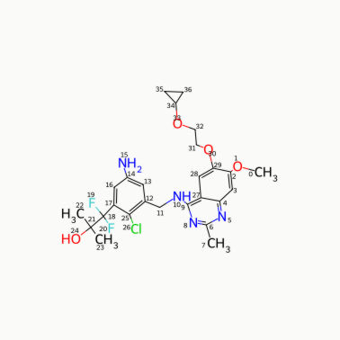 COc1cc2nc(C)nc(NCc3cc(N)cc(C(F)(F)C(C)(C)O)c3Cl)c2cc1OCCOC1CC1